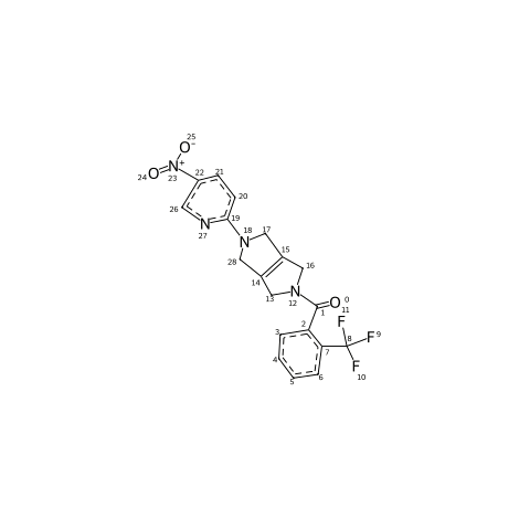 O=C(c1ccccc1C(F)(F)F)N1CC2=C(C1)CN(c1ccc([N+](=O)[O-])cn1)C2